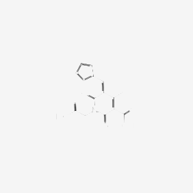 CC1=C(C(=O)O)C(=O)N(CC(=O)O)C(=O)/C1=C\C1=C=C=C=C1